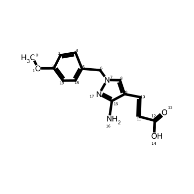 COc1ccc(Cn2cc(C=CC(=O)O)c(N)n2)cc1